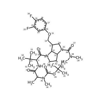 CC(C(=O)NC(C(=O)N1CCC2C1C(COc1ccc(F)c(F)c1)CN2C(=O)N(C)C)C(C)(C)C)N(C)C(=O)OC(C)(C)C